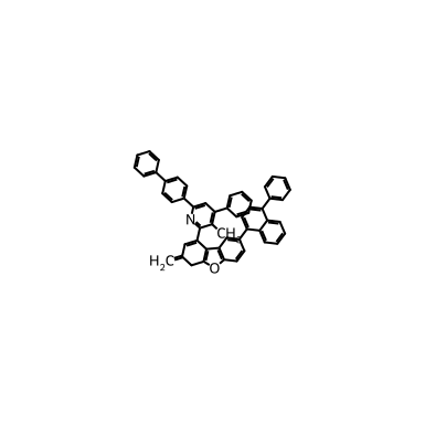 C=C1C=C(c2nc(-c3ccc(-c4ccccc4)cc3)cc(-c3ccccc3)c2C)c2c(oc3ccc(-c4ccc(-c5ccccc5)c5ccccc45)cc23)C1